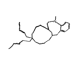 CCCCCC1(CCCC)CCCCC2Cc3ccccc3N(C)CC2CCC1